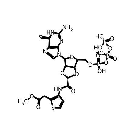 COC(=O)Cc1sccc1NC(=O)[C@@H]1OC2C(COP(=O)(O)OP(=O)(O)OP(=O)(O)O)OC(n3cnc4c(=S)[nH]c(N)nc43)C2O1